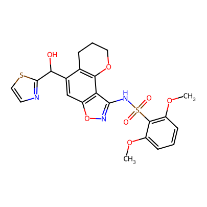 COc1cccc(OC)c1S(=O)(=O)Nc1noc2cc(C(O)c3nccs3)c3c(c12)OCCC3